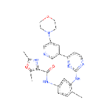 Cc1nc(C(=O)Nc2ccc(C)c(Nc3nccc(-c4cncc(N5CCOCC5)c4)n3)c2)c(C)o1